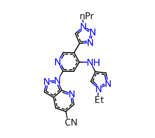 CCCn1cc(-c2cnc(-n3ncc4cc(C#N)cnc43)cc2Nc2cnn(CC)c2)nn1